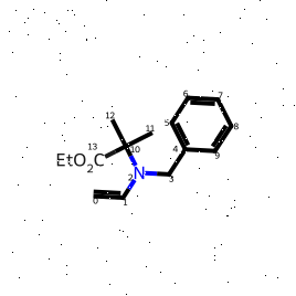 C=CN(Cc1ccccc1)C(C)(C)C(=O)OCC